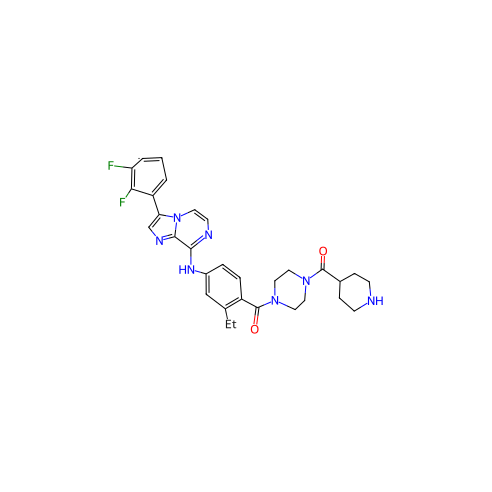 CCc1cc(Nc2nccn3c(-c4cc[c]c(F)c4F)cnc23)ccc1C(=O)N1CCN(C(=O)C2CCNCC2)CC1